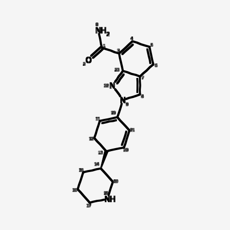 NC(=O)c1cccc2cn(C3=CCC([C@@H]4CCCNC4)C=C3)nc12